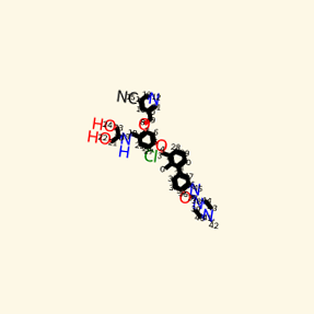 Cc1c(COc2cc(OCc3cncc(C#N)c3)c(CNC(CO)CO)cc2Cl)cccc1-c1ccc2oc(N3CCN(C)CC3)nc2c1